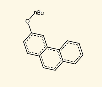 CCCCOc1ccc2ccc3ccccc3c2c1